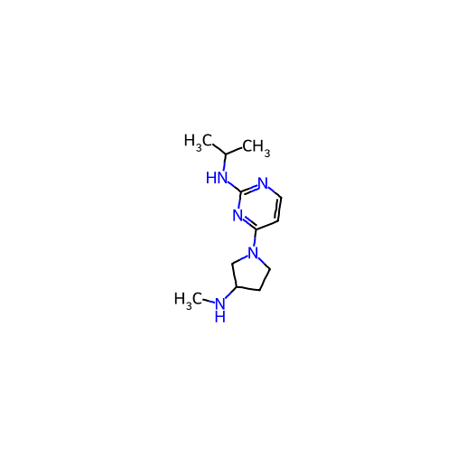 CNC1CCN(c2ccnc(NC(C)C)n2)C1